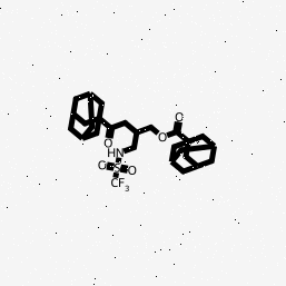 O=C(CC(CNS(=O)(=O)C(F)(F)F)COC(=O)C12CC3CC(CC(C3)C1)C2)C12CC3CC(CC(C3)C1)C2